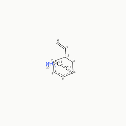 C=CC1Cc2ccc1cc2.N